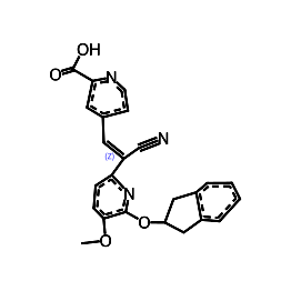 COc1ccc(/C(C#N)=C/c2ccnc(C(=O)O)c2)nc1OC1Cc2ccccc2C1